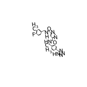 Cc1cc(CNC(=O)c2cc(C(=O)N[C@@H](C)c3ccc(-c4nnn[nH]4)cc3)ncn2)ccc1F